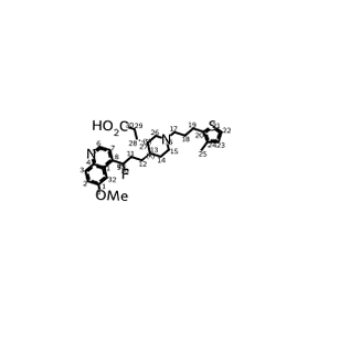 COc1ccc2nccc([C@H](F)CC[C@@H]3CCN(CCCc4sccc4C)C[C@H]3CCC(=O)O)c2c1